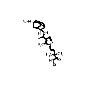 CCNC(=O)C(C)(C)/C=C/n1ncc(C(=O)N[C@H]2C3CC4CC2C[C@](NC(C)=O)(C4)C3)c1C(F)(F)F